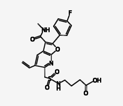 C=Cc1cc2c(C(=O)NC)c(-c3ccc(F)cc3)oc2nc1CS(=O)(=O)NCCCC(=O)O